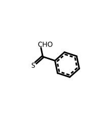 O=CC(=S)c1ccccc1